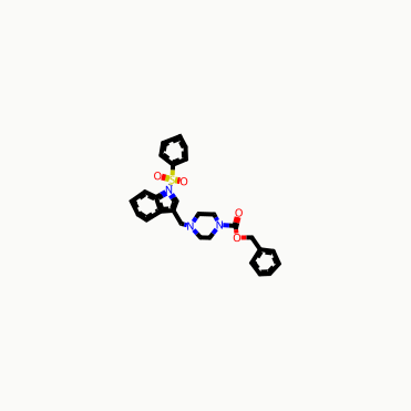 O=C(OCc1ccccc1)N1CCN(Cc2cn(S(=O)(=O)c3ccccc3)c3ccccc23)CC1